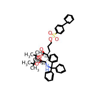 CC(C)(C)OC(=O)[C@@H](CCCOS(=O)(=O)c1ccc(-c2ccccc2)cc1)C[C@H](NC(c1ccccc1)(c1ccccc1)c1ccccc1)C(=O)OC(C)(C)C